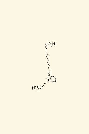 O=C(O)CCCCCCCCCCSc1ccccc1OCCCC(=O)O